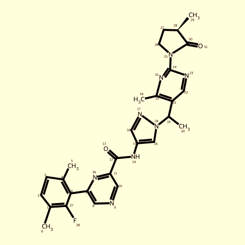 Cc1ccc(C)c(-c2cncc(C(=O)Nc3cnn(C(C)c4cnc(N5CC[C@@H](C)C5=O)nc4C)c3)n2)c1F